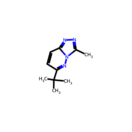 Cc1nnc2ccc(C(C)(C)C)nn12